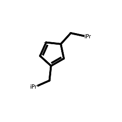 CC(C)CC1=CC(CC(C)C)[C]=C1